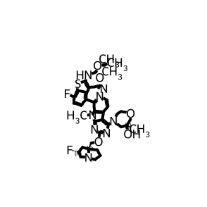 Cn1c2nc(OC[C@@]34CCCN3C[C@H](F)C4)nc(N3CCOC[C@@](C)(O)C3)c2c2ccnc(-c3ccc(F)c4sc(NC(=O)OC(C)(C)C)c(C#N)c34)c21